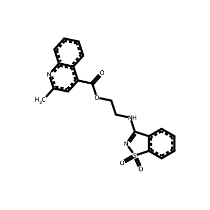 Cc1cc(C(=O)OCCNC2=NS(=O)(=O)c3ccccc32)c2ccccc2n1